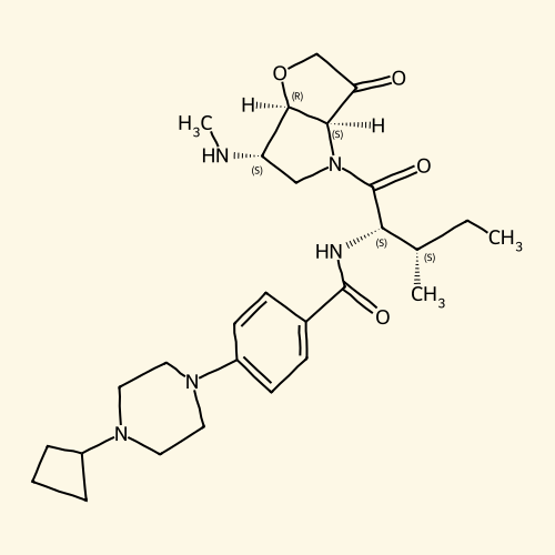 CC[C@H](C)[C@H](NC(=O)c1ccc(N2CCN(C3CCC3)CC2)cc1)C(=O)N1C[C@H](NC)[C@H]2OCC(=O)[C@H]21